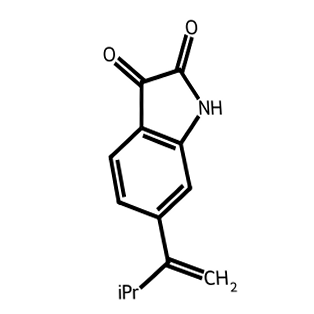 C=C(c1ccc2c(c1)NC(=O)C2=O)C(C)C